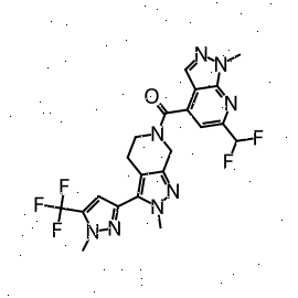 Cn1nc(-c2c3c(nn2C)CN(C(=O)c2cc(C(F)F)nc4c2cnn4C)CC3)cc1C(F)(F)F